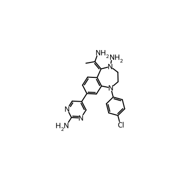 C/C(N)=C1\c2ccc(-c3cnc(N)nc3)cc2N(c2ccc(Cl)cc2)CCN1N